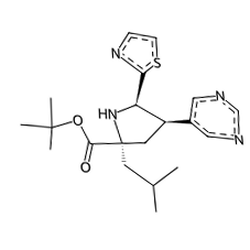 CC(C)C[C@@]1(C(=O)OC(C)(C)C)C[C@H](c2cncnc2)[C@H](c2nccs2)N1